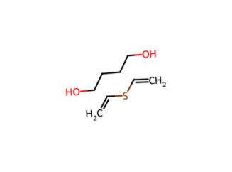 C=CSC=C.OCCCCO